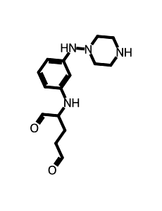 O=CCCC(C=O)Nc1cccc(NN2CCNCC2)c1